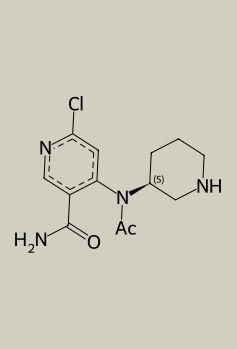 CC(=O)N(c1cc(Cl)ncc1C(N)=O)[C@H]1CCCNC1